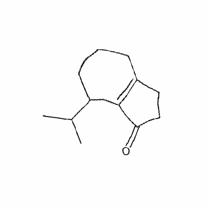 CC(C)C1CCCC2=C1C(=O)CC2